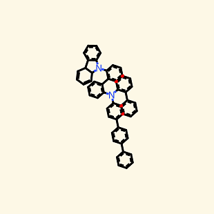 C1=CC2c3ccccc3N(c3ccccc3-c3ccccc3N(c3ccc(-c4ccc(-c5ccccc5)cc4)cc3)c3ccccc3-c3ccccc3)C2C=C1